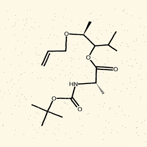 C=CCO[C@@H](C)C(OC(=O)[C@H](C)NC(=O)OC(C)(C)C)C(C)C